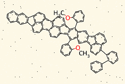 COc1ccccc1-c1c2cc3c(cc2c(-c2ccccc2OC)c2c4ccc5c6ccc7c8c(ccc(c9ccc(c12)c4c95)c86)-c1cc2ccccc2cc1-7)c1ccc(-c2ccccc2-c2ccccc2)c2cccc3c21